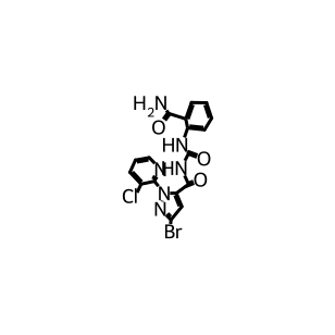 NC(=O)c1ccccc1NC(=O)NC(=O)c1cc(Br)nn1-c1ncccc1Cl